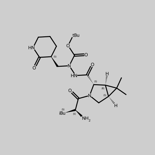 CC[C@H](C)[C@H](N)C(=O)N1C[C@H]2[C@@H]([C@H]1C(=O)NN(C[C@@H]1CCCNC1=O)C(=O)OC(C)(C)C)C2(C)C